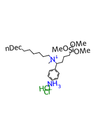 CCCCCCCCCCCCCCCC[N+](C)(C)C(CCC[Si](OC)(OC)OC)c1ccccc1.Cl.N.[Cl-]